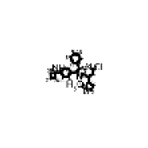 Cn1nccc1-c1cc(Cl)nn2c(-c3ccccc3)c(-c3ccc(C4(N)CCC4)cc3)nc12